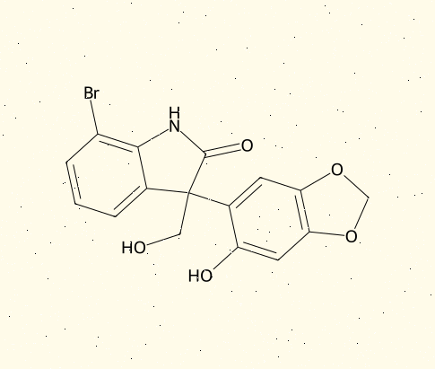 O=C1Nc2c(Br)cccc2C1(CO)c1cc2c(cc1O)OCO2